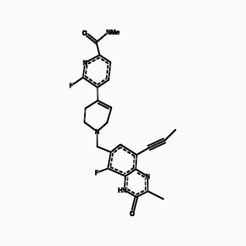 CC#Cc1cc(CN2CC=C(c3ccc(C(=O)NC)nc3F)CC2)c(F)c2[nH]c(=O)c(C)nc12